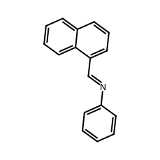 C(=Nc1ccccc1)c1cccc2ccccc12